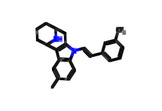 Cc1ccc2c(c1)c1c(n2C=Cc2cccc(C(F)(F)F)c2)CC2CCCC1N2